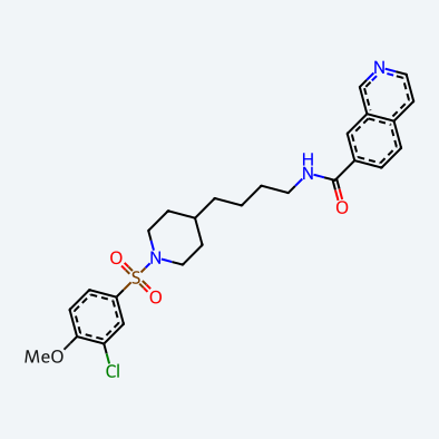 COc1ccc(S(=O)(=O)N2CCC(CCCCNC(=O)c3ccc4ccncc4c3)CC2)cc1Cl